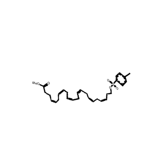 COC(=O)CC/C=C\C/C=C\C/C=C\C/C=C\C/C=C\C/C=C\CCOS(=O)(=O)c1ccc(C)cc1